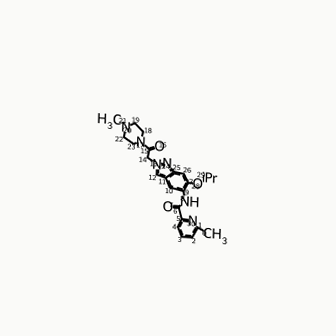 Cc1cccc(C(=O)Nc2cc3cn(CC(=O)N4CCN(C)CC4)nc3cc2OC(C)C)n1